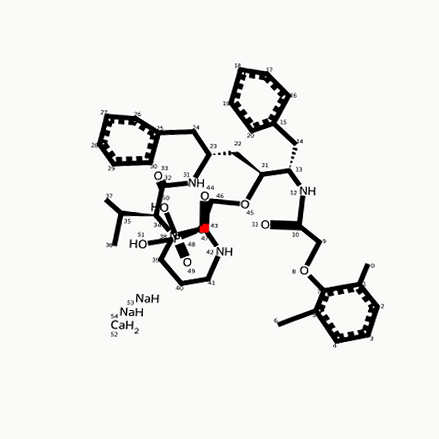 Cc1cccc(C)c1OCC(=O)N[C@@H](Cc1ccccc1)[C@H](C[C@@H](Cc1ccccc1)NC(=O)[C@H](C(C)C)N1CCCNC1=O)OCOP(=O)(O)O.[CaH2].[NaH].[NaH]